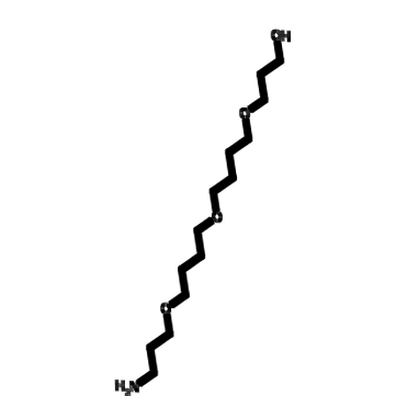 NCCCOCCCCOCCCCOCCCO